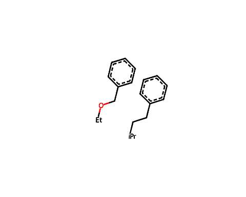 CC(C)CCc1ccccc1.CCOCc1ccccc1